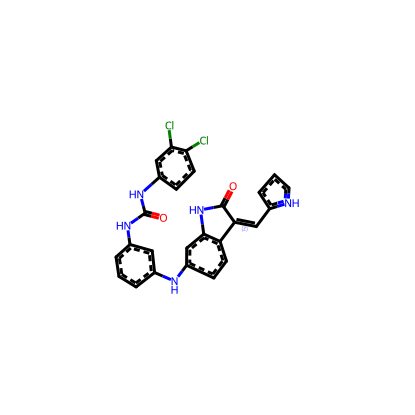 O=C(Nc1cccc(Nc2ccc3c(c2)NC(=O)/C3=C\c2ccc[nH]2)c1)Nc1ccc(Cl)c(Cl)c1